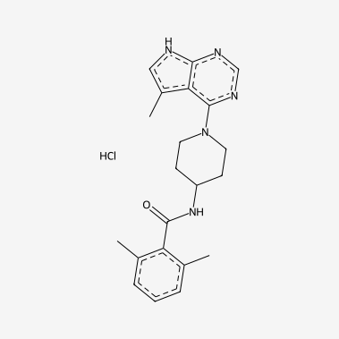 Cc1cccc(C)c1C(=O)NC1CCN(c2ncnc3[nH]cc(C)c23)CC1.Cl